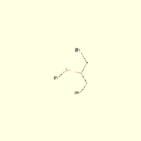 CC(C)CC(CC(C)C)SC(C)C